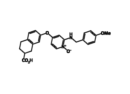 COc1ccc(CNc2cc(Oc3ccc4c(c3)CC(C(=O)O)CC4)cc[n+]2[O-])cc1